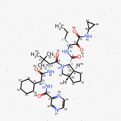 CCC[C@@H](NC(=O)[C@@H]1[C@H]2CCC[C@@H]2CN1C(=O)[C@H](NC(=O)[C@H](NC(=O)c1cnccn1)C1CCCCC1)C(C)(C)C)C(=O)C(=O)NC1CC1